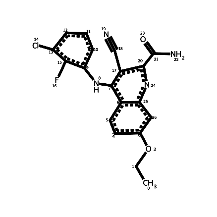 CCOc1[c]cc2c(Nc3cccc(Cl)c3F)c(C#N)c(C(N)=O)nc2c1